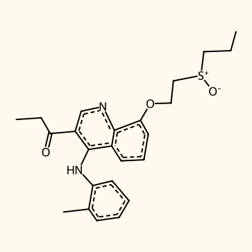 CCC[S+]([O-])CCOc1cccc2c(Nc3ccccc3C)c(C(=O)CC)cnc12